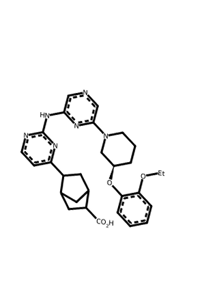 CCOc1ccccc1O[C@@H]1CCCN(c2cncc(Nc3nccc(C4CC5CC4CC5C(=O)O)n3)n2)C1